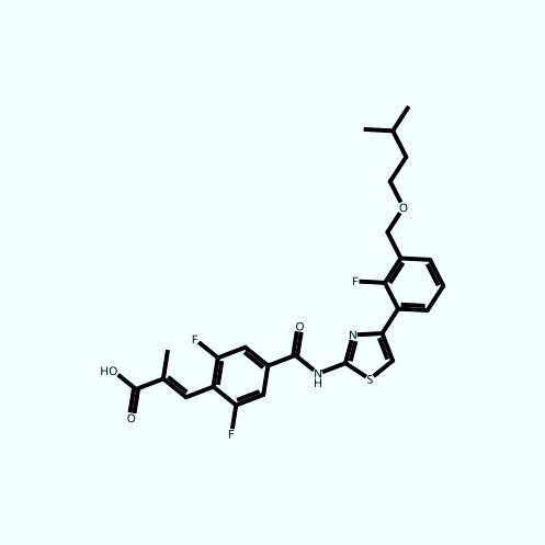 C/C(=C\c1c(F)cc(C(=O)Nc2nc(-c3cccc(COCCC(C)C)c3F)cs2)cc1F)C(=O)O